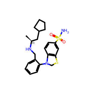 C[C@@H](CC1CCCC1)NCc1ccccc1N1CSc2cc(S(N)(=O)=O)ccc21